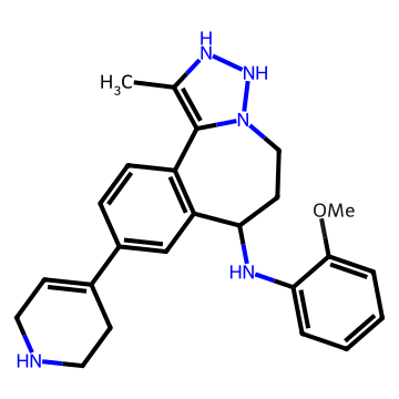 COc1ccccc1NC1CCN2NNC(C)=C2c2ccc(C3=CCNCC3)cc21